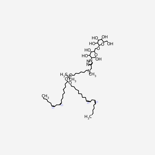 CCCCC/C=C\C/C=C\CCCCCCCCOC(CCCCCCC/C=C\C/C=C\CCCCC)O[Si](C)(C)OCCCCCCN(C)Cc1cn(C2C(O)OC(COC3OC(CO)C(O)C(O)C3O)C(O)C2O)nn1